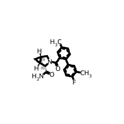 Cc1ccc(-c2ccc(F)c(C)c2)c(C(=O)N2C[C@H]3C[C@H]3[C@H]2C(N)=O)c1